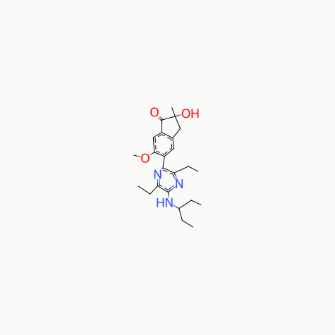 CCc1nc(-c2cc3c(cc2OC)C(=O)C(C)(O)C3)c(CC)nc1NC(CC)CC